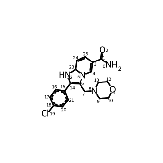 NC(=O)C1=CN2C(CN3CCOCC3)=C(c3ccc(Cl)cc3)NC2C=C1